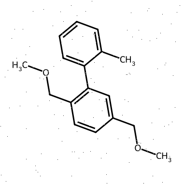 COCc1ccc(COC)c(-c2ccccc2C)c1